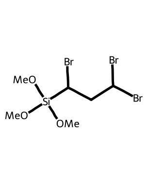 CO[Si](OC)(OC)C(Br)CC(Br)Br